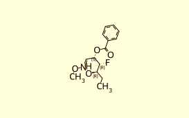 CC[C@@H](O)[C@@H](F)[C@H](C=NOC)OC(=O)c1ccccc1